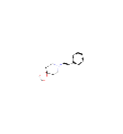 C(=CN1CCC2(CC1)OCCO2)c1ccccc1